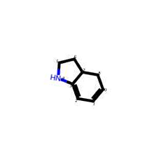 [C]1=CC=C2NCCC2C1